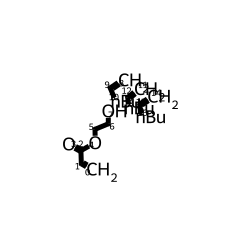 C=CC(=O)OCCO.C=CCCCC.C=CCCCC.C=CCCCC